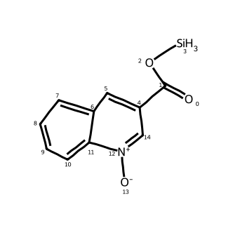 O=C(O[SiH3])c1cc2ccccc2[n+]([O-])c1